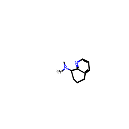 CC(C)N(C)C1CCCc2cccnc21